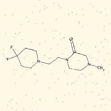 CN1CCN(CCN2CCC(F)(F)CC2)C(=O)C1